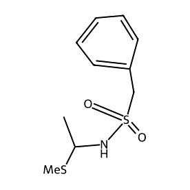 CSC(C)NS(=O)(=O)Cc1ccccc1